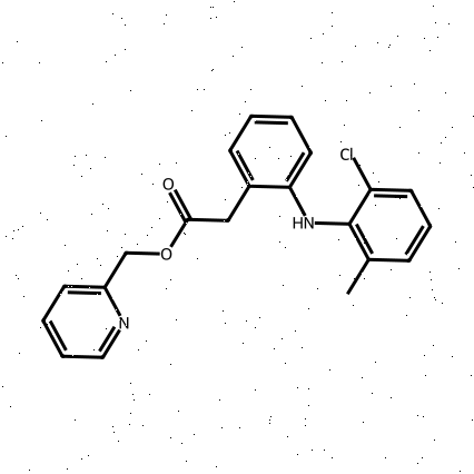 Cc1cccc(Cl)c1Nc1ccccc1CC(=O)OCc1ccccn1